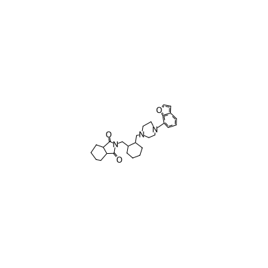 O=C1C2CCCCC2C(=O)N1CC1CCCCC1CN1CCN(c2cccc3ccoc23)CC1